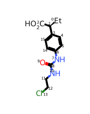 CC[C@H](C(=O)O)c1ccc(NC(=O)NCCCl)cc1